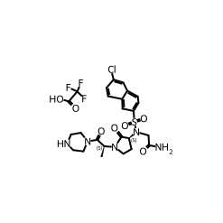 C[C@@H](C(=O)N1CCNCC1)N1CC[C@H](N(CC(N)=O)S(=O)(=O)c2ccc3cc(Cl)ccc3c2)C1=O.O=C(O)C(F)(F)F